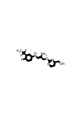 CC(F)(F)c1cc(N/C=C(\N)COc2nccc(CO)n2)ccc1F